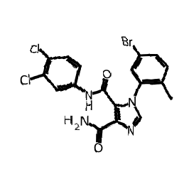 Cc1ccc(Br)cc1-n1cnc(C(N)=O)c1C(=O)Nc1ccc(Cl)c(Cl)c1